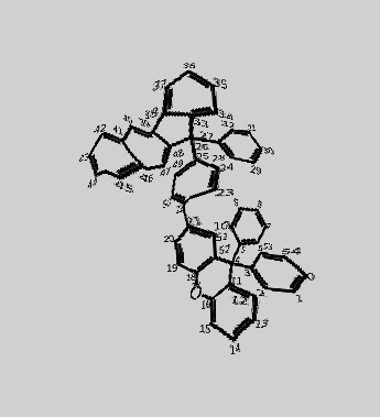 c1ccc(C2(c3ccccc3)c3ccccc3Oc3ccc(-c4ccc(C5(c6ccccc6)c6ccccc6-c6cc7ccccc7cc65)cc4)cc32)cc1